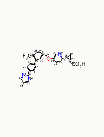 Cc1cnc(-c2ccc(-c3cc(COc4ccc([C@H]5C[C@@H]5C(=O)O)nc4)ccc3C(F)(F)F)cc2)nc1